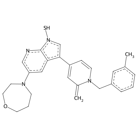 C=C1C=C(c2cn(S)c3ncc(N4CCCOCC4)cc23)C=CN1Cc1cccc(C)c1